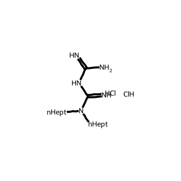 CCCCCCCN(CCCCCCC)C(=N)NC(=N)N.Cl.Cl